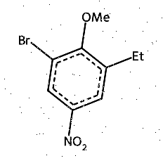 CCc1cc([N+](=O)[O-])cc(Br)c1OC